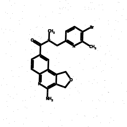 Cc1nc(CN(C)C(=O)c2ccc3nc(N)c4c(c3c2)COC4)ccc1Br